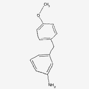 COc1ccc(Cc2cccc(N)c2)cc1